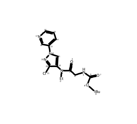 CCN(C(=O)CNC(=O)OC(C)(C)C)c1cn(-c2cccnc2)nc1Cl